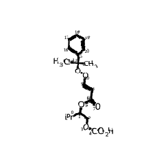 CC(C)C(COC(=O)O)OC(=O)C=COOC(C)(C)c1ccccc1